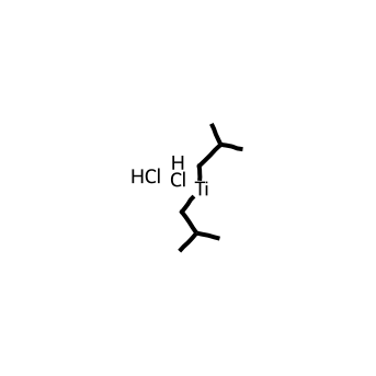 CC(C)[CH2][Ti][CH2]C(C)C.Cl.Cl